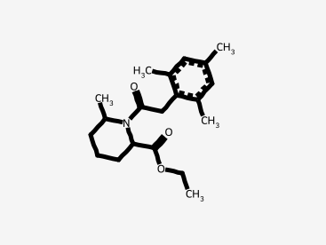 CCOC(=O)C1CCCC(C)N1C(=O)Cc1c(C)cc(C)cc1C